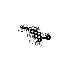 C=C(C)[C@@H]1CC[C@]2(C#Cc3ccccc3O)CC[C@]3(C)C(CCC4[C@@]5(C)CC[C@H](OC(=O)CC(C)(C)C(=O)O)C(C)(C)C5CC[C@]43C)C12